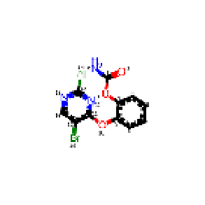 NC(=O)Oc1ccccc1Oc1nc(Cl)ncc1Br